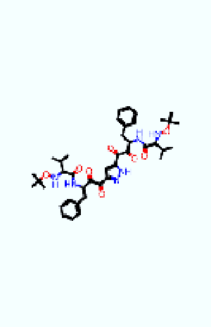 CC(C)C(NOC(C)(C)C)C(=O)NC(Cc1ccccc1)C(=O)C(=O)c1cc(C(=O)C(=O)C(Cc2ccccc2)NC(=O)C(NOC(C)(C)C)C(C)C)[nH]n1